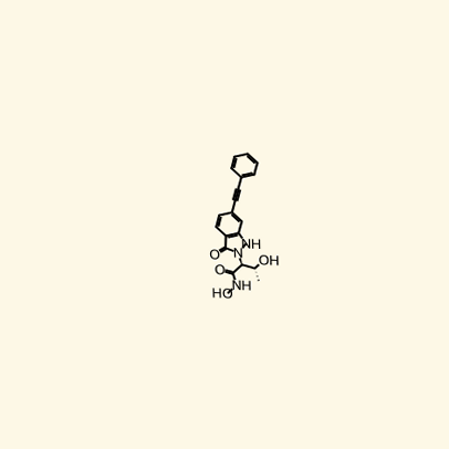 C[C@@H](O)[C@@H](C(=O)NO)n1[nH]c2cc(C#Cc3ccccc3)ccc2c1=O